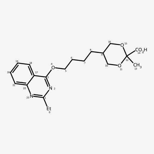 CCc1nc(OCCCCC2COC(C)(C(=O)O)OC2)c2ccccc2n1